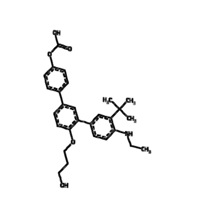 CCNc1ccc(-c2cc(-c3ccc(OC(=O)O)cc3)ccc2OCCCO)cc1C(C)(C)C